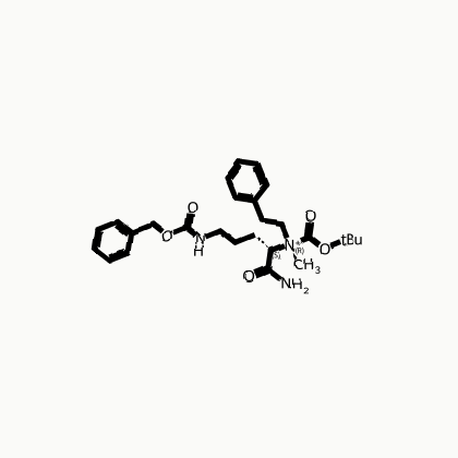 CC(C)(C)OC(=O)[N@+](C)(CCc1ccccc1)[C@@H](CCCNC(=O)OCc1ccccc1)C(N)=O